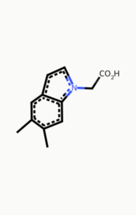 Cc1cc2ccn(CC(=O)O)c2cc1C